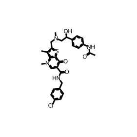 CC(=O)Nc1ccc(C(O)CN(C)Cc2sc3c(=O)c(C(=O)NCc4ccc(Cl)cc4)cn(C)c3c2C)cc1